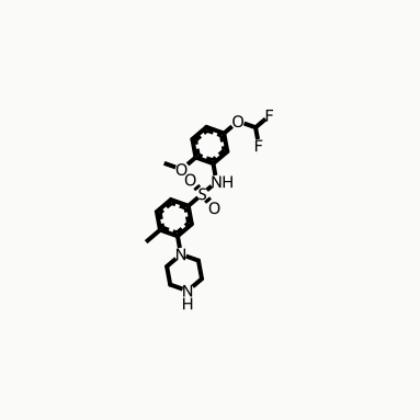 COc1ccc(OC(F)F)cc1NS(=O)(=O)c1ccc(C)c(N2CCNCC2)c1